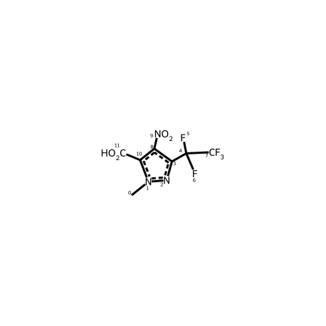 Cn1nc(C(F)(F)C(F)(F)F)c([N+](=O)[O-])c1C(=O)O